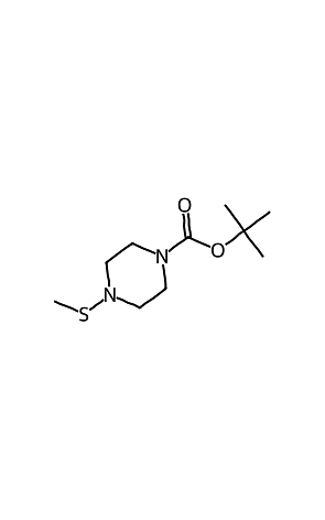 CSN1CCN(C(=O)OC(C)(C)C)CC1